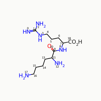 N=C(N)NCCCC(NC(=O)C(N)CCCCN)C(=O)O